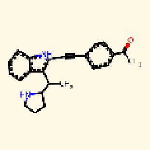 CC(=O)c1ccc(C#Cc2[nH]c3ccccc3c2C(C)C2CCCN2)cc1